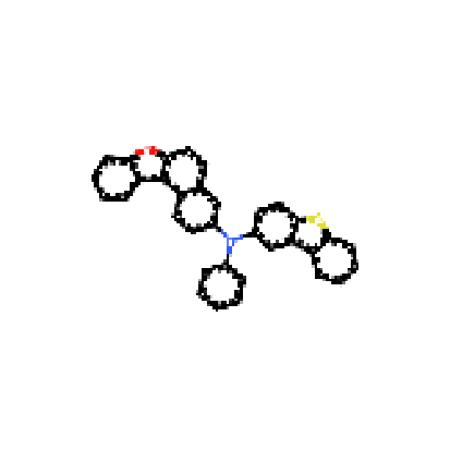 c1ccc(N(c2ccc3c(ccc4oc5ccccc5c43)c2)c2ccc3sc4ccccc4c3c2)cc1